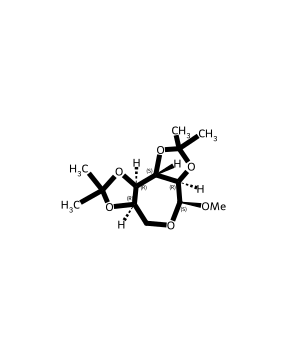 CO[C@H]1OC[C@H]2OC(C)(C)O[C@H]2[C@@H]2OC(C)(C)O[C@@H]12